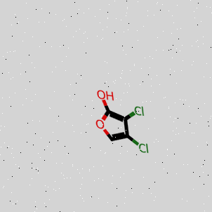 Oc1occ(Cl)c1Cl